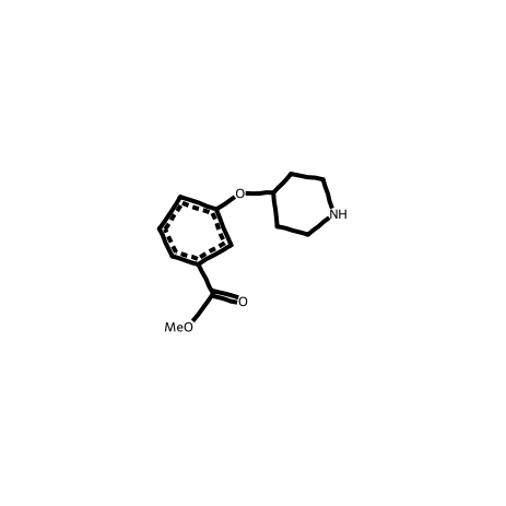 COC(=O)c1cccc(OC2CCNCC2)c1